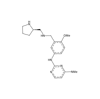 CNc1ccnc(Nc2ccc(OC)c(CNC[C@H]3CCCN3)c2)n1